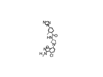 Cc1cc(-n2cncn2)ccc1C(=O)NC1CCN(c2ccc(Cl)c3c(N)noc23)C1